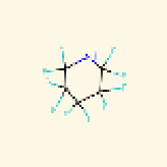 FC1(F)NC(F)(F)C(F)(F)C(F)(F)C1(F)F